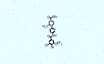 CC1CN(C(=O)C(C)(C)C)CCN1c1ccc(NC(=O)c2cc(Cl)c(Br)c(OC(F)(F)F)c2)cn1